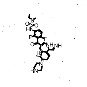 CCN(C)S(=O)(=O)Nc1ccc(F)c(C(=O)C2=CNC(C=N)C3=CC[C@H](N4CCNCC4)[C@@H](C)[C@H]3C2)c1F